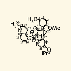 COc1ccc(C)cc1[C@]1(C(=O)NS(=O)(=O)c2cccc3nc(C)ccc23)C[C@@H]1c1cncc(OC(C)C)n1